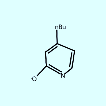 CCCCc1ccnc([O])c1